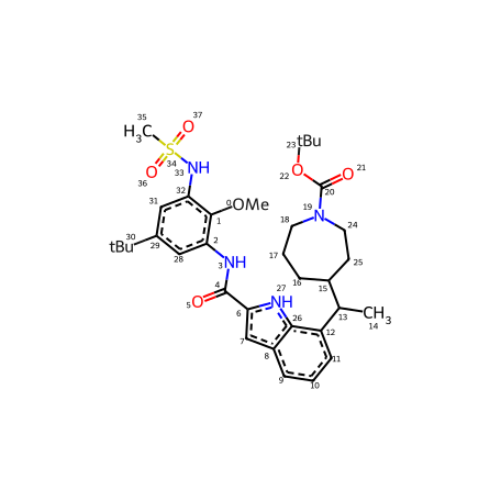 COc1c(NC(=O)c2cc3cccc(C(C)C4CCCN(C(=O)OC(C)(C)C)CC4)c3[nH]2)cc(C(C)(C)C)cc1NS(C)(=O)=O